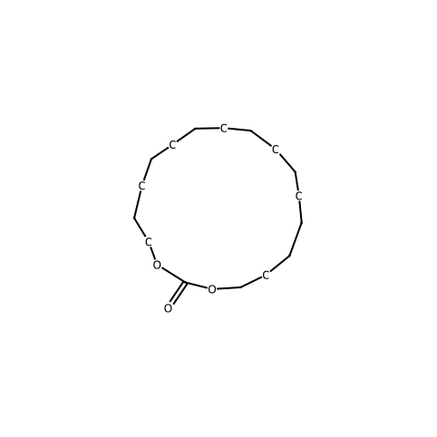 O=C1OCCCCCCCCCCCCCCCO1